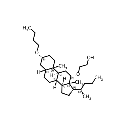 CCCCO[C@@H]1CC[C@@]2(C)[C@H](CC[C@@H]3[C@@H]2C[C@H](OCCO)[C@]2(C)[C@@H]([C@H](C)CCC)CC[C@@H]32)C1